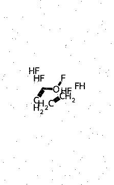 C=C.C=COF.F.F.F.F